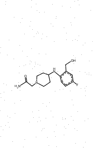 NC(=O)CN1CCC(Nc2ccc(F)cc2CO)CC1